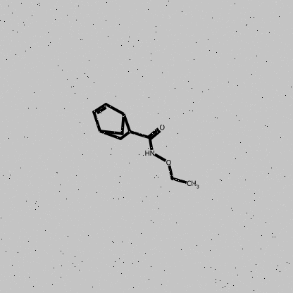 CCONC(=O)C1CC2C=CC1C2